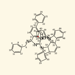 CN/C(=N\C(=N/Cc1ccccc1)c1ccc(-c2ccccc2)cc1)N1c2ccccc2C2C=Cc3c(n(-c4ccccc4)c4ccccc34)C21